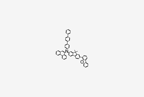 CC1(C)c2cc(-c3cccc4c3oc3ccccc34)ccc2-c2ccc(N(c3ccc(-c4ccc(-c5ccccc5)cc4)cc3)c3cc4ccccc4c4ccccc34)cc21